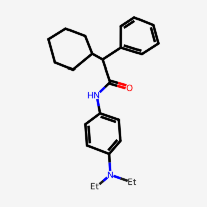 CCN(CC)c1ccc(NC(=O)C(c2ccccc2)C2CCCCC2)cc1